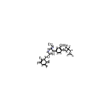 CC/N=C(\N=C/C(C)OCC1C(F)=C(F)C=C(F)C1F)Nc1ccc(N2CC(C)(CN(C)C)C2)c(OC)c1